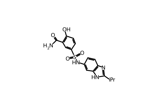 CC(C)c1nc2ccc(NS(=O)(=O)c3ccc(O)c(C(N)=O)c3)cc2[nH]1